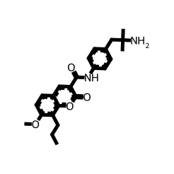 CCCc1c(OC)ccc2cc(C(=O)Nc3ccc(CC(C)(C)N)cc3)c(=O)oc12